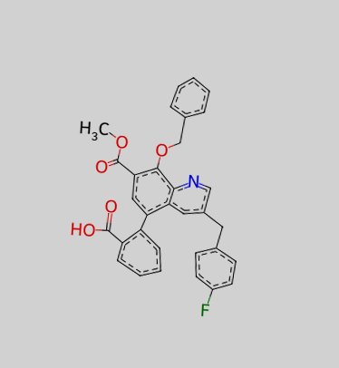 COC(=O)c1cc(-c2ccccc2C(=O)O)c2cc(Cc3ccc(F)cc3)cnc2c1OCc1ccccc1